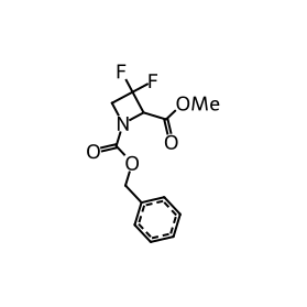 COC(=O)C1N(C(=O)OCc2ccccc2)CC1(F)F